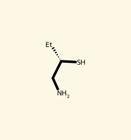 CC[C@H](S)CN